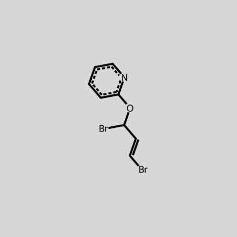 BrC=CC(Br)Oc1ccccn1